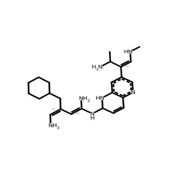 CN/C=C(/c1cnc2c(c1)NC(N/C(N)=C/C(=C\N)CC1CCCCC1)C=C2)C(C)N